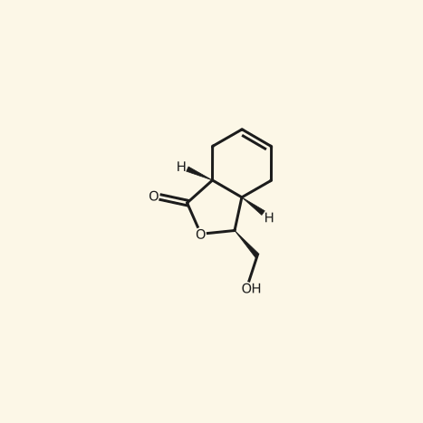 O=C1O[C@H](CO)[C@H]2CC=CC[C@@H]12